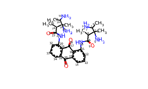 CC(N)C(C)(N)C(C)C(=O)Nc1cccc2c1C(=O)c1c(NC(=O)C(C)C(C)(N)C(C)N)cccc1C2=O